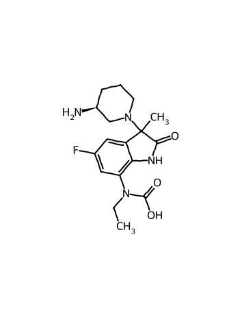 CCN(C(=O)O)c1cc(F)cc2c1NC(=O)C2(C)N1CCC[C@H](N)C1